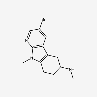 CNC1CCc2c(c3cc(Br)cnc3n2C)C1